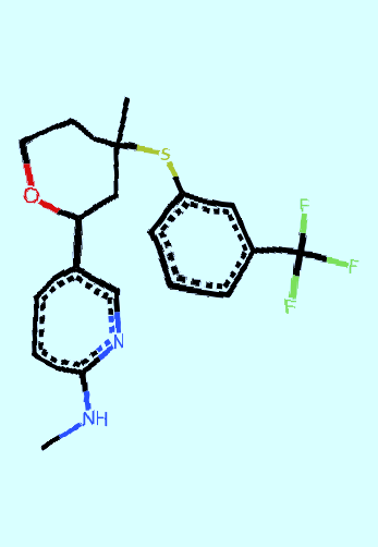 CNc1ccc(C2CC(C)(Sc3cccc(C(F)(F)F)c3)CCO2)cn1